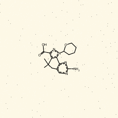 CC1(C)Cc2cnc(N)nc2-c2c1c(C(=O)O)nn2C1CCCCO1